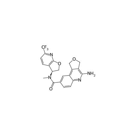 CN(C(=O)c1ccc2nc(N)c3c(c2c1)COC3)[C@@H]1COc2nc(C(F)(F)F)ccc21